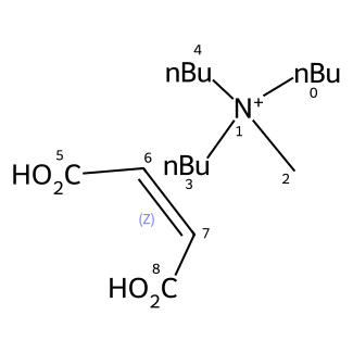 CCCC[N+](C)(CCCC)CCCC.O=C(O)/C=C\C(=O)O